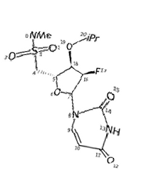 CNS(=O)(=O)C[C@H]1OC(n2ccc(=O)[nH]c2=O)[C@H](F)[C@@H]1OC(C)C